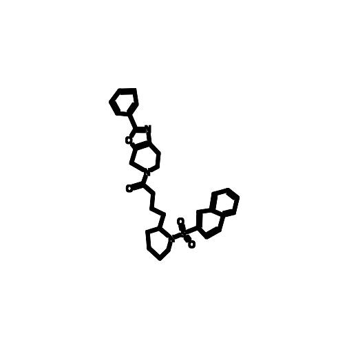 O=C(CCCC1CCCCN1S(=O)(=O)c1ccc2ccccc2c1)N1CCc2nc(-c3ccccc3)oc2C1